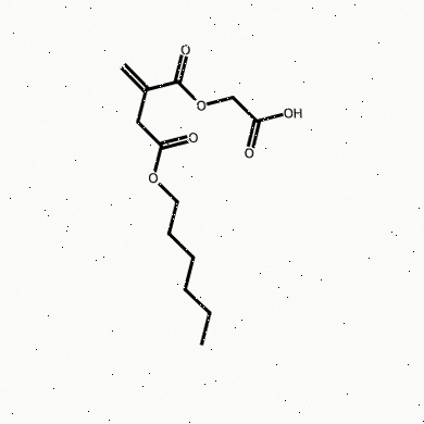 C=C(CC(=O)OCCCCCC)C(=O)OCC(=O)O